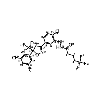 O=C(CCCC(F)(F)F)NNc1cc(C2=NOC(c3cc(Cl)cc(Cl)c3)(C(F)(F)F)C2)ccc1Cl